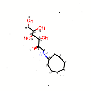 O=C(CNC1CCCCCCC1)C(O)C(O)C(O)CO